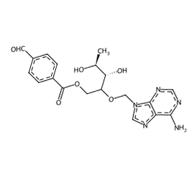 C[C@H](O)[C@H](O)C(COC(=O)c1ccc(C=O)cc1)OCn1cnc2c(N)ncnc21